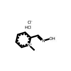 C[n+]1ccccc1/C=N/O.Cl.[Cl-]